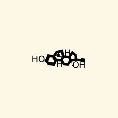 C#C[C@]1(O)CC[C@H]2[C@]3(C=C)CCc4cc(O)ccc4[C@H]3CC[C@@]21C